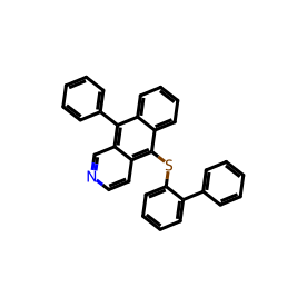 c1ccc(-c2ccccc2Sc2c3ccccc3c(-c3ccccc3)c3cnccc23)cc1